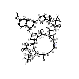 COc1ccc2c(O[C@@H]3C[C@H]4C(=O)N[C@]5(C(=O)NS(=O)(=O)C6(C)CC6)C[C@H]5/C=C\CC[C@@H](C)C[C@@H](C)[C@H](N(C(=O)O)C(C)(C)C(F)(F)F)C(=O)N4C3)cc(-n3ccc(C(F)(F)F)n3)nc2c1